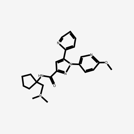 COc1ccc(-n2nc(C(=O)NC3(CN(C)C)CCCC3)cc2-c2ccccn2)cn1